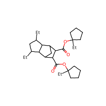 CCC1CC(CC)C2C3CC(C(C(=O)OC4(CC)CCCC4)C3C(=O)OC3(CC)CCCC3)C12